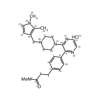 CNC(=O)CCc1ccc(-c2nccnc2N2CCN(Cc3cnn(C)c3C)CC2)cc1.Cl